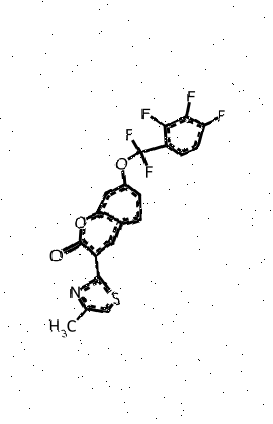 Cc1csc(-c2cc3ccc(OC(F)(F)c4ccc(F)c(F)c4F)cc3oc2=O)n1